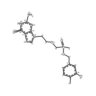 Cc1ccc(COP(C)(=O)COCCn2cnc3c(=O)[nH]c(N)nc32)cc1Cl